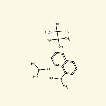 CC(C)(O)C(C)(C)O.CN(C)c1cccc2ccccc12.OB(O)O